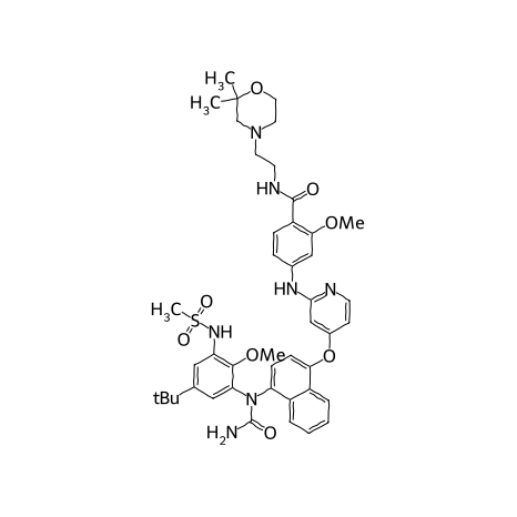 COc1cc(Nc2cc(Oc3ccc(N(C(N)=O)c4cc(C(C)(C)C)cc(NS(C)(=O)=O)c4OC)c4ccccc34)ccn2)ccc1C(=O)NCCN1CCOC(C)(C)C1